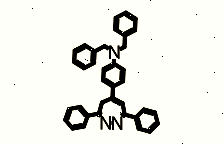 C1=C(c2ccc(N(Cc3ccccc3)Cc3ccccc3)cc2)CC(c2ccccc2)=NN=C1c1ccccc1